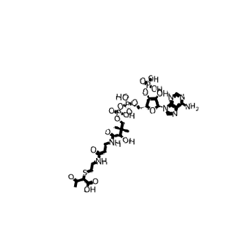 CC(=O)C(SCCNC(=O)CCNC(=O)C(O)C(C)(C)COP(=O)(O)OP(=O)(O)OC[C@H]1O[C@@H](n2cnc3c(N)ncnc32)[C@H](O)[C@@H]1OP(=O)(O)O)C(=O)O